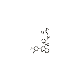 CCN(CC)CCN(C)CC1CCCN1C(=O)c1cc(-c2ccc(F)c(F)c2)nc2ccccc12